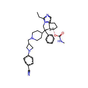 CCc1nccn1CC(c1ccccc1)(C1CCN(CC2CN(c3ccc(C#N)cc3)C2)CC1)[C@H]1CCC[C@@H]1OC(=O)NC